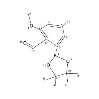 COc1cc(C)cc(B2OC(C)(C)C(C)(C)O2)c1C=O